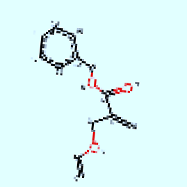 C=COCC(=C)C(=O)OCc1ccccc1